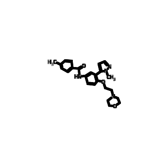 Cc1ccc(C(=O)Nc2ccc(OCCN3CCOCC3)c(-c3ccnn3C)c2)cc1